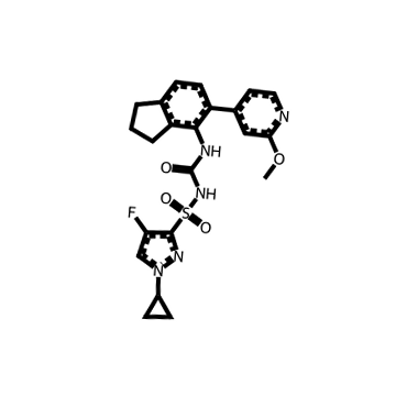 COc1cc(-c2ccc3c(c2NC(=O)NS(=O)(=O)c2nn(C4CC4)cc2F)CCC3)ccn1